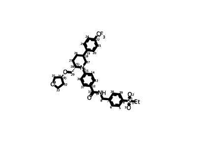 CCS(=O)(=O)c1ccc(CNC(=O)c2ccc(N3CC(c4ccc(C(F)(F)F)cc4)CC[C@H]3CO[C@@H]3CCOC3)cc2)cc1